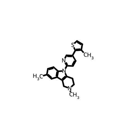 Cc1ccc2c(c1)c1c(n2-c2ccc(-c3sccc3C)cn2)CCN(C)C1